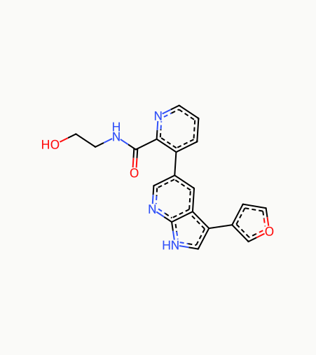 O=C(NCCO)c1ncccc1-c1cnc2[nH]cc(-c3ccoc3)c2c1